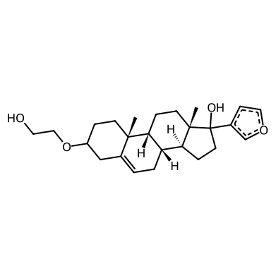 C[C@]12CCC(OCCO)CC1=CC[C@@H]1[C@H]2CC[C@@]2(C)[C@H]1CCC2(O)c1ccoc1